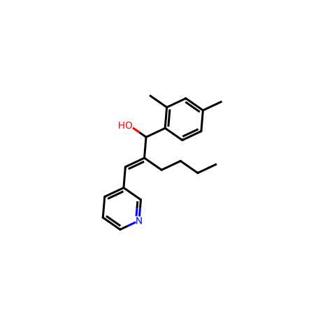 CCCC/C(=C\c1cccnc1)C(O)c1ccc(C)cc1C